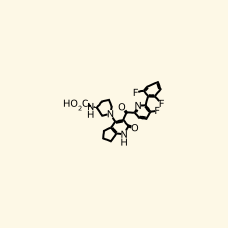 O=C(O)N[C@H]1CCCN(c2c3c([nH]c(=O)c2C(=O)c2ccc(F)c(-c4c(F)cccc4F)n2)CCC3)C1